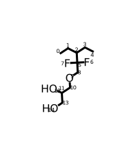 CCC(CC)C(F)(F)COCC(O)CO